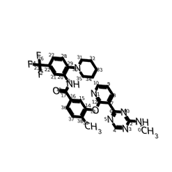 CNc1ncnc(-c2cccnc2Oc2cc(C(=O)Nc3cc(C(F)(F)F)ccc3N3CCCCC3)ccc2C)n1